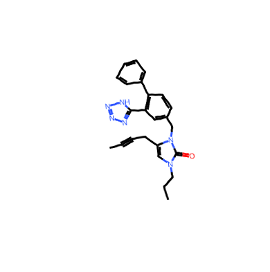 CC#CCc1cn(CCC)c(=O)n1Cc1ccc(-c2ccccc2)c(-c2nnn[nH]2)c1